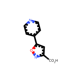 O=C(O)c1cc(-c2ccncc2)on1